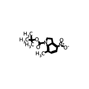 Cc1ccc([N+](=O)[O-])c2c1N(C(=O)OC(C)(C)C)CC2